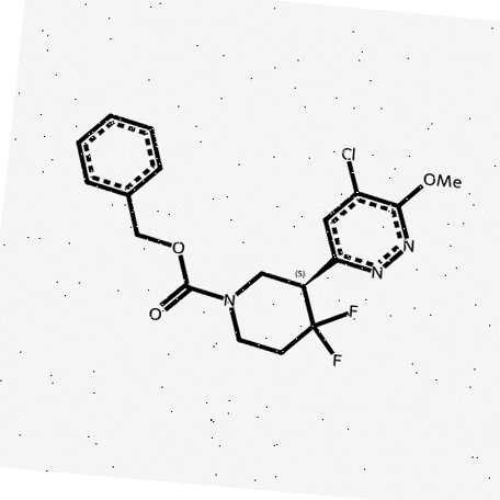 COc1nnc([C@@H]2CN(C(=O)OCc3ccccc3)CCC2(F)F)cc1Cl